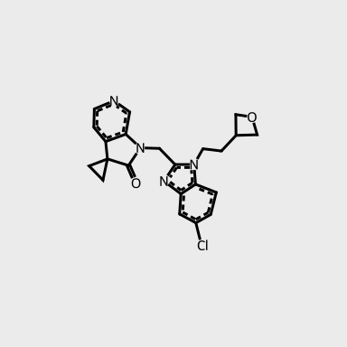 O=C1N(Cc2nc3cc(Cl)ccc3n2CCC2COC2)c2cnccc2C12CC2